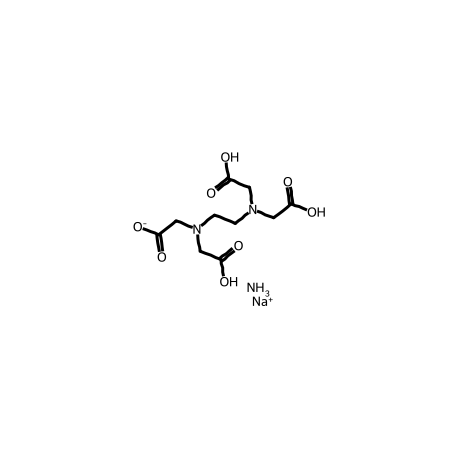 N.O=C([O-])CN(CCN(CC(=O)O)CC(=O)O)CC(=O)O.[Na+]